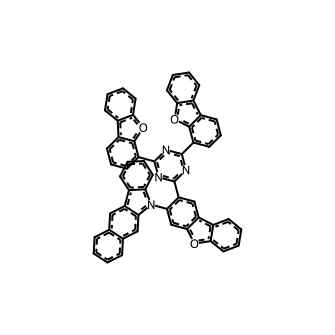 c1ccc2cc3c(cc2c1)c1ccccc1n3-c1cc2oc3ccccc3c2cc1-c1nc(-c2cccc3c2oc2ccccc23)nc(-c2cccc3c2oc2ccccc23)n1